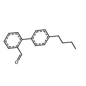 CCCCc1ccc(-c2ccccc2C=O)cc1